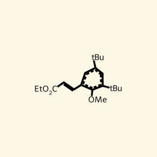 CCOC(=O)C=Cc1cc(C(C)(C)C)cc(C(C)(C)C)c1OC